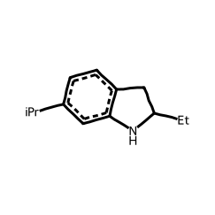 CCC1Cc2ccc(C(C)C)cc2N1